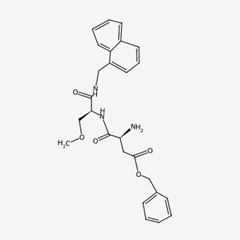 COC[C@H](NC(=O)[C@@H](N)CC(=O)OCc1ccccc1)C(=O)NCc1cccc2ccccc12